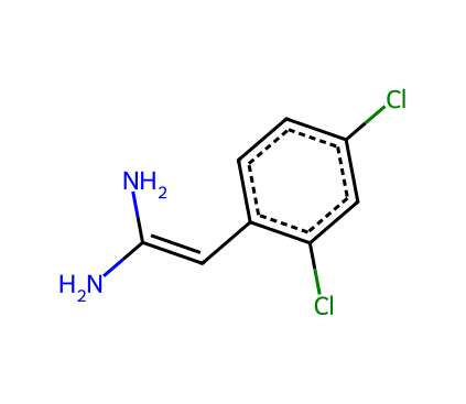 NC(N)=Cc1ccc(Cl)cc1Cl